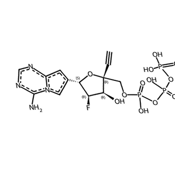 C#C[C@]1(COP(=O)(O)OP(=O)(O)OP(=O)(O)O)O[C@@H](c2cc3ncnc(N)n3c2)[C@H](F)[C@@H]1O